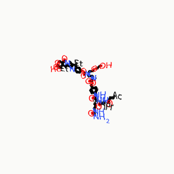 CCc1c2c(nc3ccc(OC(=O)N(CCOCCO)CCN(C)C(=O)OCc4ccc(NC(=O)[C@H](CCCNC(N)=O)NC(=O)[C@@H](NC(=O)CCC(C)=O)C(C)C)cc4)cc13)-c1cc3c(c(=O)n1C2)COC(=O)[C@]3(O)CC